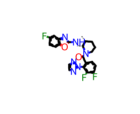 C[C@@H]1CCCN(C(=O)c2ccc(F)c(F)c2-n2nccn2)[C@@H]1CNc1nc2cc(F)ccc2o1